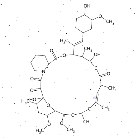 COC1CC(C=C(C)C2OC(=O)C3CCCCN3C(=O)C(=O)C3(O)OC(C(OC)CC(C)C/C(C)=C/C(C)C(=O)CC(O)C2C)C(OC)CC3C)CCC1O